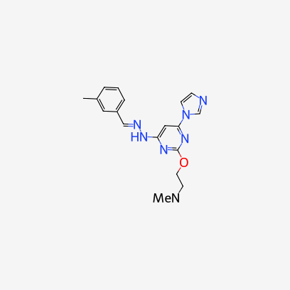 CNCCOc1nc(NN=Cc2cccc(C)c2)cc(-n2ccnc2)n1